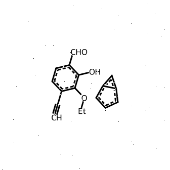 C#Cc1ccc(C=O)c(O)c1OCC.c1cc2cc-2c1